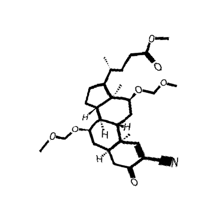 COCO[C@H]1C[C@H]2[C@@H]([C@H](OCOC)C[C@@H]3CC(=O)C(C#N)=C[C@@]32C)[C@@H]2CCC([C@H](C)CCC(=O)OC)[C@@]12C